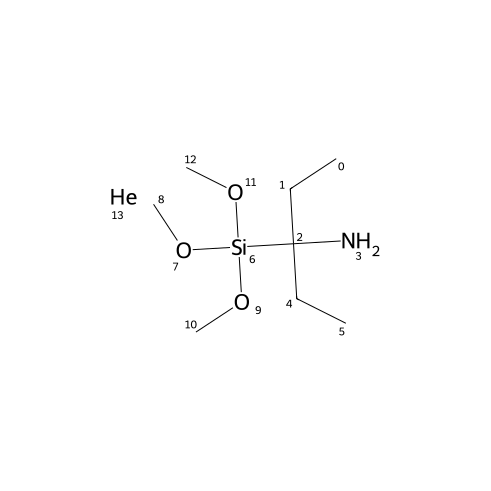 CCC(N)(CC)[Si](OC)(OC)OC.[He]